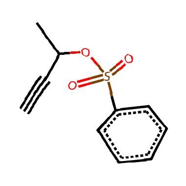 C#CC(C)OS(=O)(=O)c1ccccc1